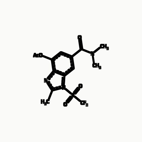 CC(=O)Oc1cc(C(=O)N(C)C)cc2c1nc(C)n2S(=O)(=O)C(F)(F)F